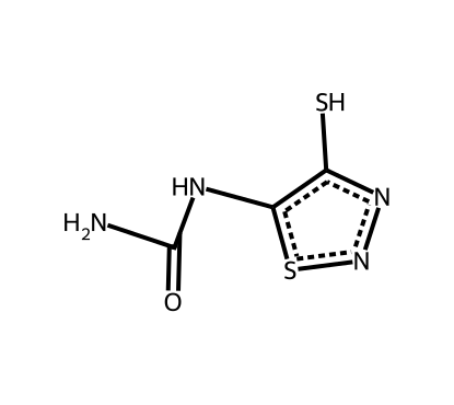 NC(=O)Nc1snnc1S